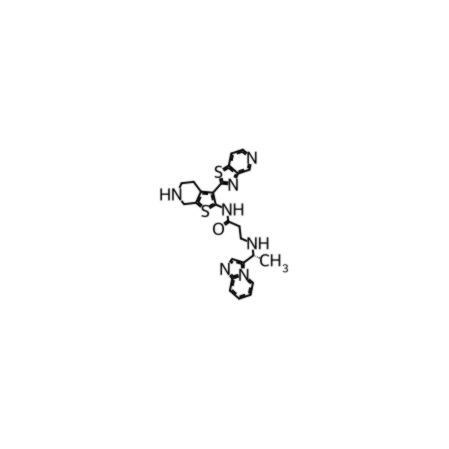 C[C@@H](NCCC(=O)Nc1sc2c(c1-c1nc3cnccc3s1)CCNC2)c1cnc2ccccn12